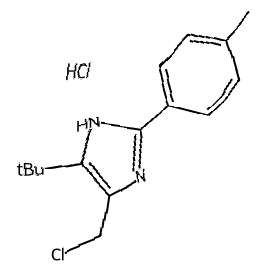 Cc1ccc(-c2nc(CCl)c(C(C)(C)C)[nH]2)cc1.Cl